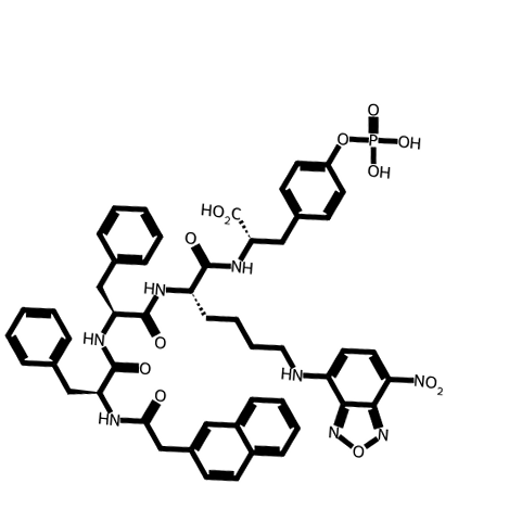 O=C(Cc1ccc2ccccc2c1)N[C@@H](Cc1ccccc1)C(=O)N[C@@H](Cc1ccccc1)C(=O)N[C@@H](CCCCNc1ccc([N+](=O)[O-])c2nonc12)C(=O)N[C@@H](Cc1ccc(OP(=O)(O)O)cc1)C(=O)O